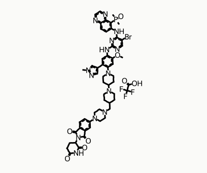 COc1cc(N2CCC(N3CCC(CN4CCN(c5ccc6c(c5)C(=O)N(C5CCC(=O)NC5=O)C6=O)CC4)CC3)CC2)c(-c2cnn(C)c2)cc1Nc1ncc(Br)c(Nc2ccc3nccnc3c2P(C)(C)=O)n1.O=C(O)C(F)(F)F